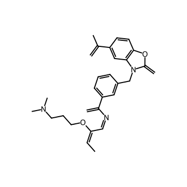 C=C(C)c1ccc2c(c1)N(Cc1cccc(C(=C)/N=C\C(=C/C)OCCCN(C)C)c1)C(=C)O2